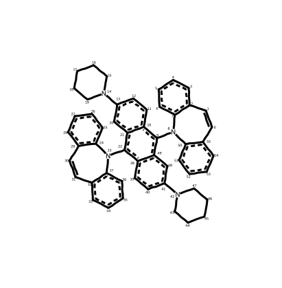 C1=Cc2ccccc2N(c2c3ccc(N4CCCCC4)cc3c(N3c4ccccc4C=Cc4ccccc43)c3ccc(N4CCCCC4)cc23)c2ccccc21